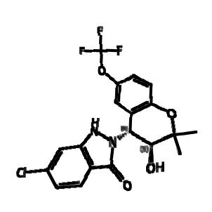 CC1(C)Oc2ccc(OC(F)(F)F)cc2[C@@H](n2[nH]c3cc(Cl)ccc3c2=O)[C@@H]1O